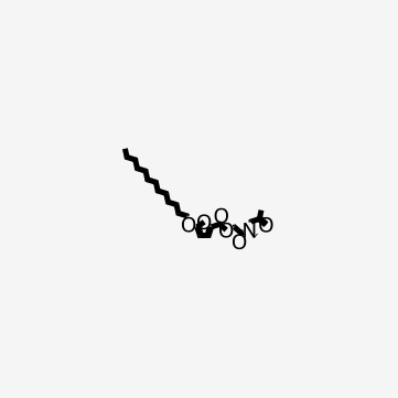 CCCCCCCCCCCCCOc1ccc(C(=O)OCC(=O)N(C)CC(C)=O)o1